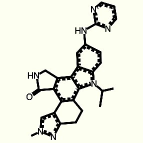 CC(C)n1c2ccc(Nc3ncccn3)cc2c2c3c(c4c(c21)CCc1nn(C)cc1-4)C(=O)NC3